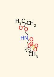 C=C(C)C(=O)OCCNC(=O)COC1C2CC3C(C)(C2)C1OS3(=O)=O